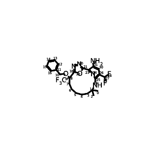 CC1(C)CCCCC[C@](OCc2ccccc2)(C(F)(F)F)c2nnc(o2)-c2nc(c(C(F)F)cc2N)N1